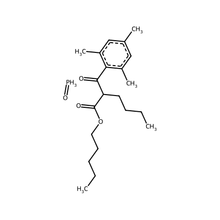 CCCCCOC(=O)C(CCCC)C(=O)c1c(C)cc(C)cc1C.O=[PH3]